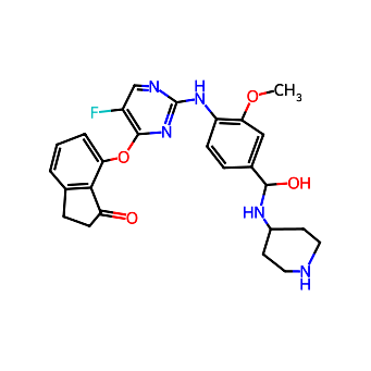 COc1cc(C(O)NC2CCNCC2)ccc1Nc1ncc(F)c(Oc2cccc3c2C(=O)CC3)n1